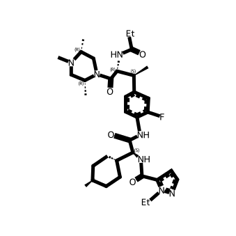 CCC(=O)N[C@@H](C(=O)N1C[C@@H](C)N(C)C[C@H]1C)[C@@H](C)c1ccc(NC(=O)[C@@H](NC(=O)c2ccnn2CC)[C@H]2CC[C@H](C)CC2)c(F)c1